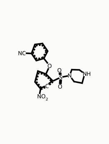 N#Cc1cccc(Oc2ccc([N+](=O)[O-])cc2S(=O)(=O)N2CCNCC2)c1